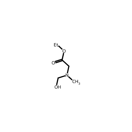 CCOC(=O)CN(C)CO